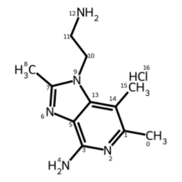 Cc1nc(N)c2nc(C)n(CCN)c2c1C.Cl